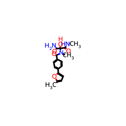 CNC(=O)C(O)(C(N)=O)N(C)C(=O)c1ccc(-c2ccc(C)o2)cc1